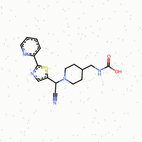 N#CC(c1cnc(-c2ccccn2)s1)N1CCC(CNC(=O)O)CC1